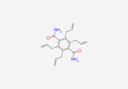 C=CCc1c(CC=C)c(C(N)=O)c(CC=C)c(CC=C)c1C(N)=O